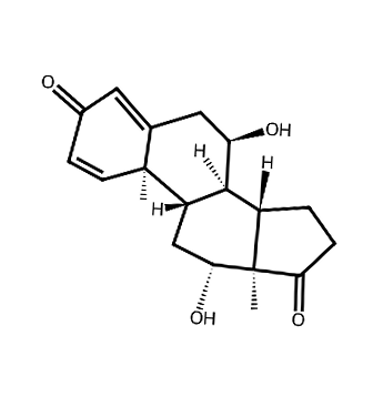 C[C@@]12C(=O)CC[C@H]1[C@@H]1[C@H](O)CC3=CC(=O)C=C[C@]3(C)[C@H]1C[C@H]2O